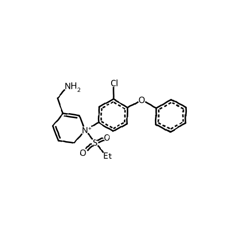 CCS(=O)(=O)[N+]1(c2ccc(Oc3ccccc3)c(Cl)c2)C=C(CN)C=CC1